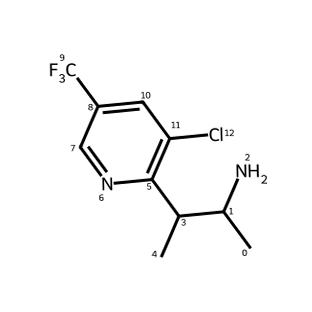 CC(N)C(C)c1ncc(C(F)(F)F)cc1Cl